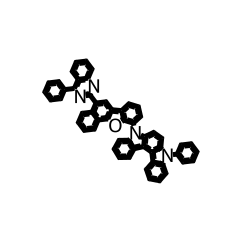 c1ccc(-c2nc(-c3cc4c5cccc(-n6c7ccccc7c7c8c9ccccc9n(-c9ccccc9)c8ccc76)c5oc4c4ccccc34)nc3ccccc23)cc1